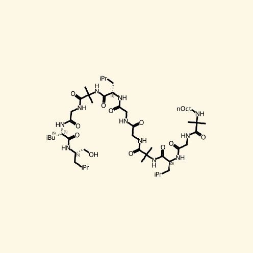 CCCCCCCCNC(C)(C)C(=O)NCC(=O)N[C@@H](CC(C)C)C(=O)NC(C)(C)C(=O)NCC(=O)NCC(=O)N[C@@H](CC(C)C)C(=O)NC(C)(C)C(=O)NCC(=O)N[C@H](C(=O)N[C@H](CO)CC(C)C)[C@@H](C)CC